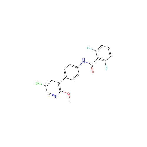 COc1ncc(Cl)cc1-c1ccc(NC(=O)c2c(F)cccc2F)cc1